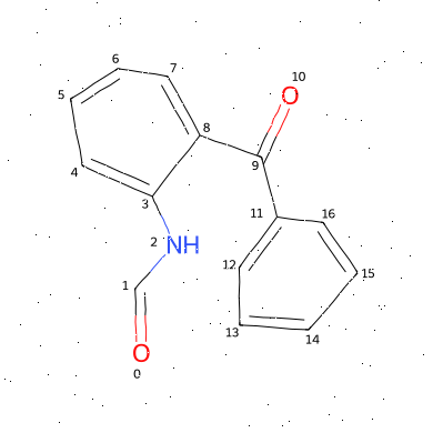 O=CNc1ccccc1C(=O)c1ccccc1